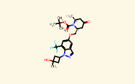 C[C@H]1CC(=O)C[C@@H](COc2cc(C(F)(F)F)c3c(cnn3C3CC(C)(O)C3)c2)N1C(=O)OC(C)(C)C